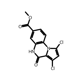 COC(=O)c1ccc2c(c1)[nH]c(=O)c1c(Cl)cc(Cl)n12